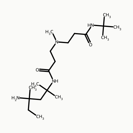 CCC(C)(N)CC(C)(C)NC(=O)CCN(C)CCC(=O)NC(C)(C)C